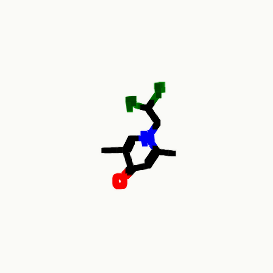 Cc1cn(CC(F)F)c(C)cc1=O